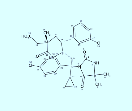 CC1(C)NC(=O)N([C@](C[C@@H]2NC(=O)[C@](C)(CC(=O)O)C[C@@H]2c2cccc(Cl)c2)(c2ccc(Cl)cc2)C2CC2)C1=O